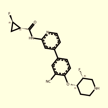 N#Cc1cc(-c2ccnc(NC(=O)[C@@H]3C[C@H]3F)c2)ccc1O[C@H]1CCNC[C@H]1F